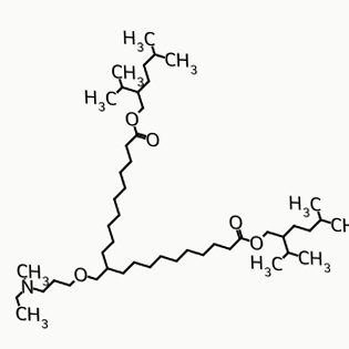 CCN(C)CCCOCC(CCCCCCCCCC(=O)OCC(CCC(C)C)C(C)C)CCCCCCCCCC(=O)OCC(CCC(C)C)C(C)C